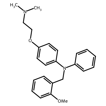 COc1ccccc1CN(c1ccccc1)c1ccc(OCCN(C)C)cc1